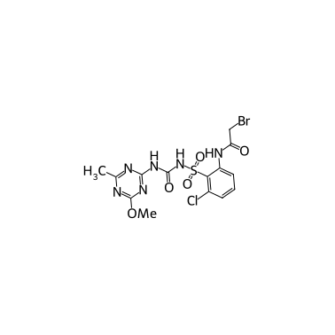 COc1nc(C)nc(NC(=O)NS(=O)(=O)c2c(Cl)cccc2NC(=O)CBr)n1